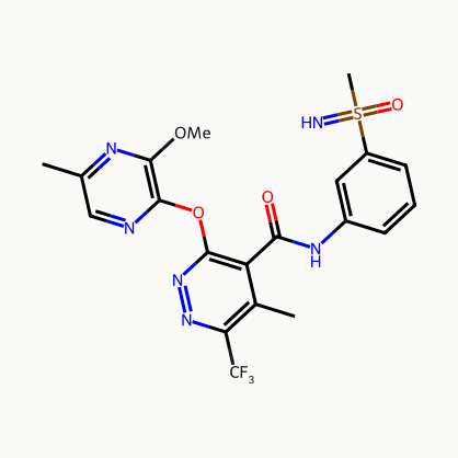 COc1nc(C)cnc1Oc1nnc(C(F)(F)F)c(C)c1C(=O)Nc1cccc(S(C)(=N)=O)c1